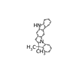 CC1(C)c2ccccc2-n2c1cc1cc3[nH]c4ccccc4c3cc12